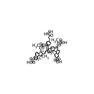 CC(CCN1/C(=C/C=C2\CCCC(/C=C/C3=[N+](CCC(C)S(=O)(=O)O)c4ccc5cc(S(=O)(=O)O)ccc5c4C3(C)C)=C2Oc2ccc(CCC(=O)NS)cc2)C(C)(C)c2c1ccc1cc(S(=O)(=O)O)ccc21)S(=O)(=O)O